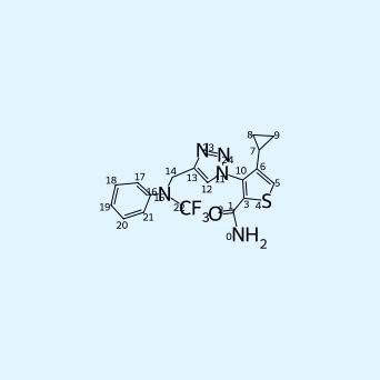 NC(=O)c1scc(C2CC2)c1-n1cc(CN(c2ccccc2)C(F)(F)F)nn1